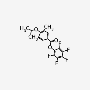 Cc1cc(C(=O)Oc2c(F)c(F)c(F)c(F)c2F)ccc1OC(C)C